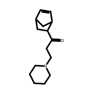 O=C(CCN1CCCCC1)C1CC2C=CC1C2